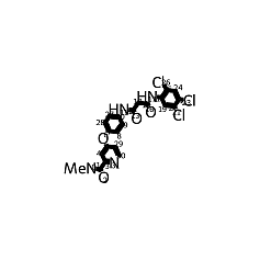 CNC(=O)c1cc(Oc2ccc(NC(=O)CC(=O)Nc3cc(Cl)c(Cl)cc3Cl)cc2)ccn1